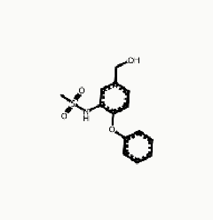 CS(=O)(=O)Nc1cc(CO)ccc1Oc1ccccc1